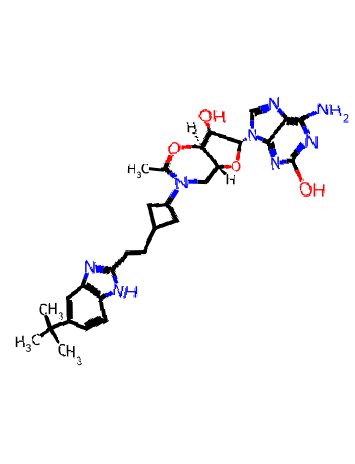 CC1O[C@H]2[C@@H](O)[C@H](n3cnc4c(N)nc(O)nc43)O[C@@H]2CN1C1CC(CCc2nc3cc(C(C)(C)C)ccc3[nH]2)C1